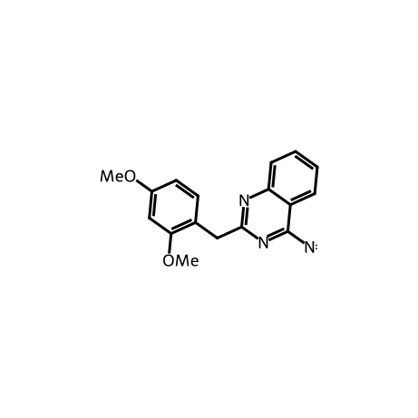 COc1ccc(Cc2nc([N])c3ccccc3n2)c(OC)c1